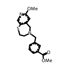 COC(=O)c1cccc(CN2CCSc3cnc(OC)cc3C2)c1